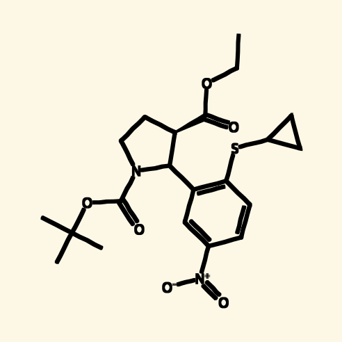 CCOC(=O)[C@@H]1CCN(C(=O)OC(C)(C)C)C1c1cc([N+](=O)[O-])ccc1SC1CC1